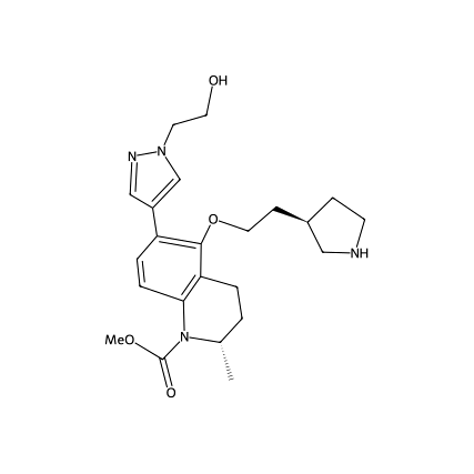 COC(=O)N1c2ccc(-c3cnn(CCO)c3)c(OCC[C@H]3CCNC3)c2CC[C@@H]1C